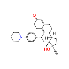 C#C[C@]1(O)CC[C@H]2[C@@H]3CCC4=CC(=O)CCC4=C3[C@@H](c3ccc(N4CCCCC4)cc3)C[C@]21C